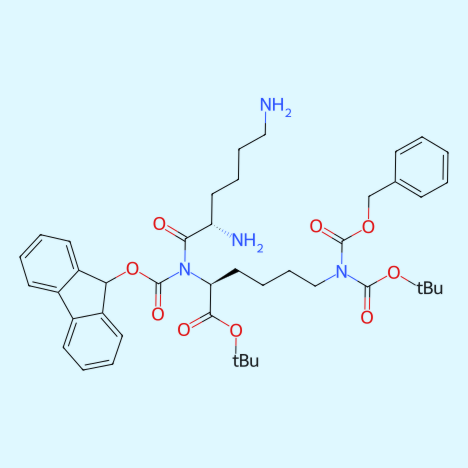 CC(C)(C)OC(=O)[C@H](CCCCN(C(=O)OCc1ccccc1)C(=O)OC(C)(C)C)N(C(=O)OC1c2ccccc2-c2ccccc21)C(=O)[C@@H](N)CCCCN